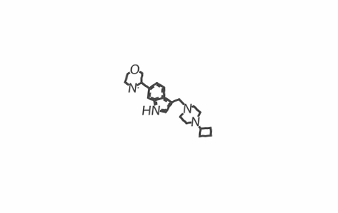 c1cc2c(CN3CCN(C4CCC4)CC3)c[nH]c2cc1C1COCC[N]1